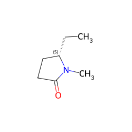 CC[C@H]1CCC(=O)N1C